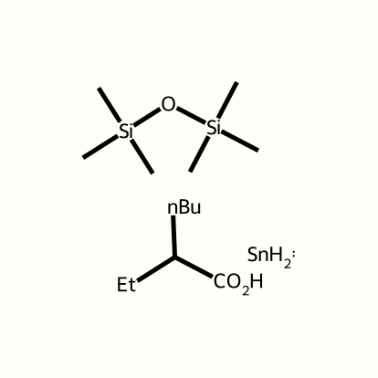 CCCCC(CC)C(=O)O.C[Si](C)(C)O[Si](C)(C)C.[SnH2]